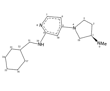 CN[C@@H]1CCN(c2ccnc(NCC3CCCCC3)c2)C1